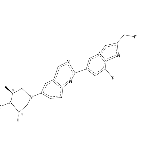 C[C@H]1CN(c2ccc3nc(-c4cc(F)c5nc(CF)cn5c4)ncc3c2)C[C@H](C)N1C(=O)O